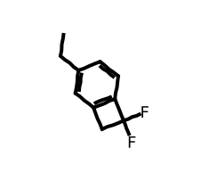 CCc1ccc2c(c1)CC2(F)F